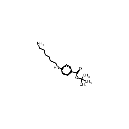 CC(C)(C)OC(=O)c1ccc(NCCCCCCN)cc1